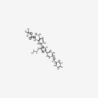 CCCCc1nc(-c2ccc(OCc3ccccc3)cc2)cn1-c1ccc2c(c1)CN(C(=O)OC(C)(C)C)CC2